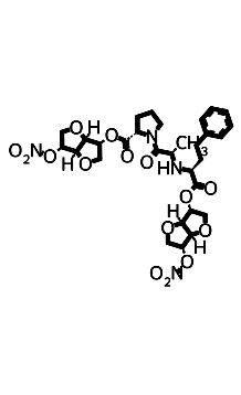 C[C@H](N[C@@H](CCc1ccccc1)C(=O)O[C@@H]1CO[C@@H]2[C@H]1OC[C@H]2O[N+](=O)[O-])C(=O)N1CCC[C@H]1C(=O)O[C@@H]1CO[C@@H]2[C@H]1OC[C@H]2O[N+](=O)[O-]